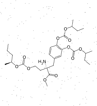 CCC[C@H](C)OC(=O)OCC[C@@](N)(Cc1ccc(OC(=O)OC(C)CC)c(OC(=O)OC(C)CC)c1)C(=O)OC